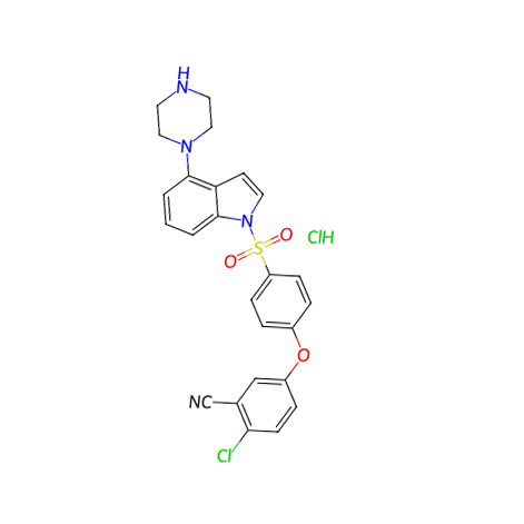 Cl.N#Cc1cc(Oc2ccc(S(=O)(=O)n3ccc4c(N5CCNCC5)cccc43)cc2)ccc1Cl